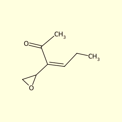 CCC=C(C(C)=O)C1CO1